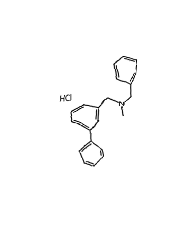 CN(Cc1ccccc1)Cc1cccc(-c2ccccc2)c1.Cl